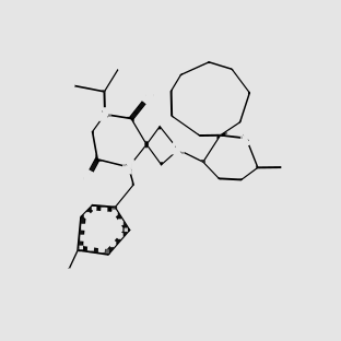 CC1CCC(N2CC3(C2)C(=O)N(C(C)C)CC(=O)N3Cc2ccc(Cl)cc2)C2(CCCCCCCC2)N1